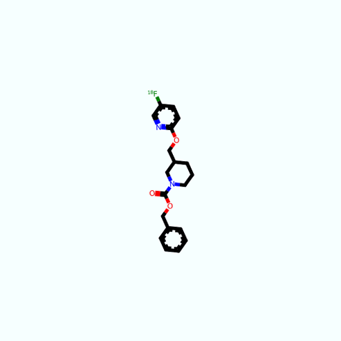 O=C(OCc1ccccc1)N1CCCC(COc2ccc([18F])cn2)C1